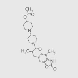 CC(=O)OC1CCN(C2CCN(C(=O)[C@H](C)Cc3cc(C)c4[nH]c(=O)oc4c3)CC2)CC1